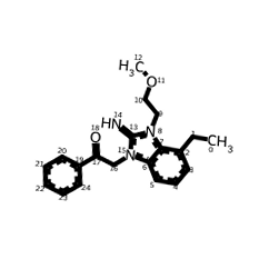 CCc1cccc2c1n(CCOC)c(=N)n2CC(=O)c1ccccc1